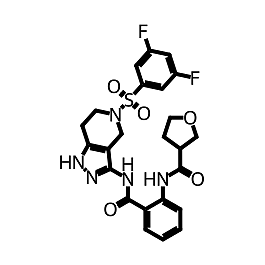 O=C(Nc1n[nH]c2c1CN(S(=O)(=O)c1cc(F)cc(F)c1)CC2)c1ccccc1NC(=O)C1CCOC1